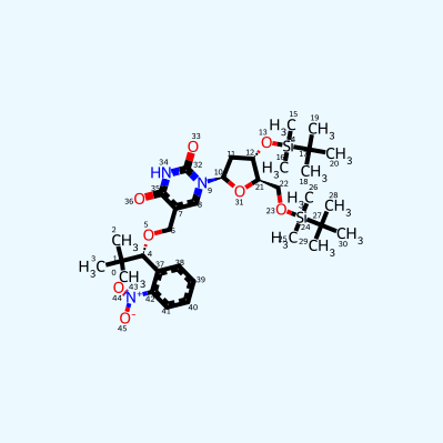 CC(C)(C)[C@H](OCc1cn([C@H]2C[C@H](O[Si](C)(C)C(C)(C)C)[C@@H](CO[Si](C)(C)C(C)(C)C)O2)c(=O)[nH]c1=O)c1ccccc1[N+](=O)[O-]